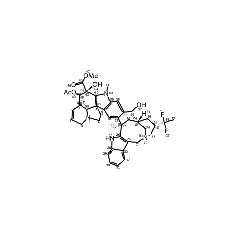 CC[C@]12C=CCN3CC[C@@]4(c5cc([C@@]6(C)C[C@@H]7C[C@H](C(C)(F)F)C[N@](Cc8c6[nH]c6ccccc86)C7)c(CO)cc5N(C)C4[C@@](O)(C(=O)OC)[C@@H]1OC(C)=O)C32